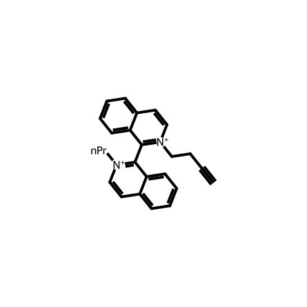 C#CCC[n+]1ccc2ccccc2c1-c1c2ccccc2cc[n+]1CCC